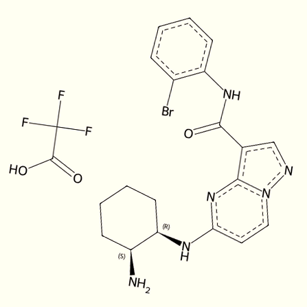 N[C@H]1CCCC[C@H]1Nc1ccn2ncc(C(=O)Nc3ccccc3Br)c2n1.O=C(O)C(F)(F)F